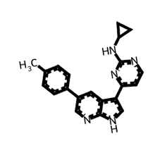 Cc1ccc(-c2cnc3[nH]cc(-c4ccnc(NC5CC5)n4)c3c2)cc1